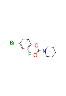 O=C(Oc1ccc(Br)cc1F)N1CCCCC1